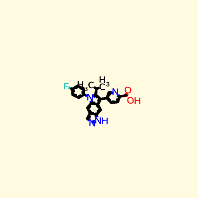 CC(C)c1c(-c2ccc(C(=O)O)nc2)c2cc3[nH]ncc3cc2n1-c1ccc(F)cc1